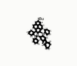 CC(C)(C)c1cc2ccc3c4c5c(c6ccc(c1)c2c36)N(c1ccccc1)c1cc2c(cc1B5N(c1ccccc1)c1ccccc1-4)sc1ccccc12